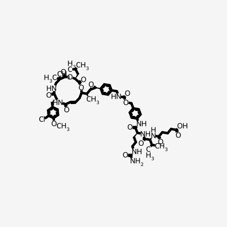 COc1ccc(C[C@H]2NC(=O)/C=C/CC([C@H](C)[C@@H]3O[C@H]3c3ccc(CNC(=O)OCc4ccc(NC(=O)[C@H](CCCNC(N)=O)NC(=O)[C@@H](NC(=O)CCCC(=O)O)C(C)C)cc4)cc3)OC(=O)[C@H](CC(C)C)OC(=O)C(C)(C)CNC2=O)cc1Cl